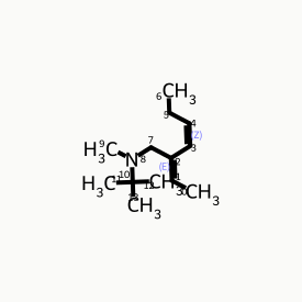 C/C=C(\C=C/CC)CN(C)C(C)(C)C